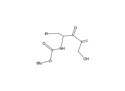 C=C(CO)C(=O)C(CC(C)C)NC(=O)OC(C)(C)C